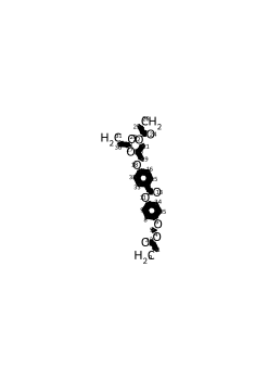 C=CC(=O)OCOc1ccc(OC(=O)c2ccc(OCC(COC(=O)C=C)OC(=O)C=C)cc2)cc1